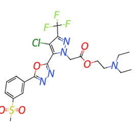 CCN(CC)CCOC(=O)Cn1nc(C(F)(F)F)c(Cl)c1-c1nnc(-c2cccc(S(C)(=O)=O)c2)o1